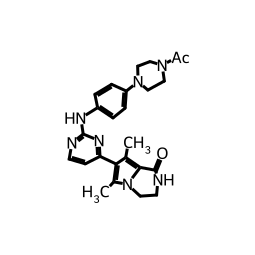 CC(=O)N1CCN(c2ccc(Nc3nccc(-c4c(C)c5n(c4C)CCNC5=O)n3)cc2)CC1